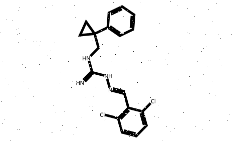 N=C(NCC1(c2ccccc2)CC1)NN=Cc1c(Cl)cccc1Cl